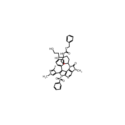 Cn1cc(-c2c(-c3ccc(O)cc3)c3c(ncc4c3n(C3CCC(CCCO)(NC(=O)OCc5ccccc5)CC3)c(=O)n4C)n2S(=O)(=O)c2ccccc2)c(F)n1